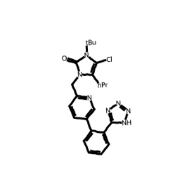 CCCc1c(Cl)n(C(C)(C)C)c(=O)n1Cc1ccc(-c2ccccc2-c2nnn[nH]2)cn1